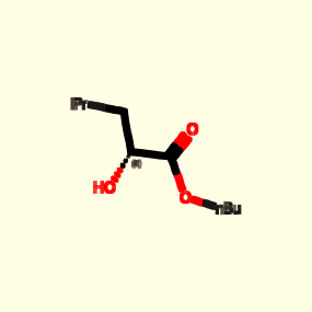 CCCCOC(=O)[C@H](O)CC(C)C